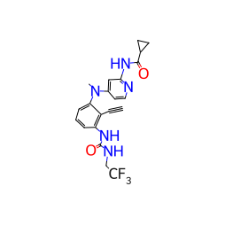 C#Cc1c(NC(=O)NCC(F)(F)F)cccc1N(C)c1ccnc(NC(=O)C2CC2)c1